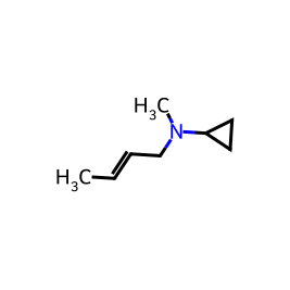 C/C=C/CN(C)C1CC1